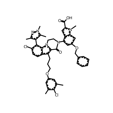 Cc1cc(OCCCc2c3n(c4c(-c5c(C)nn(C)c5C)c(Cl)ccc24)CCN(c2cc(OCc4ccccc4)cc4c2cc(C(=O)O)n4C)C3=O)cc(C)c1Cl